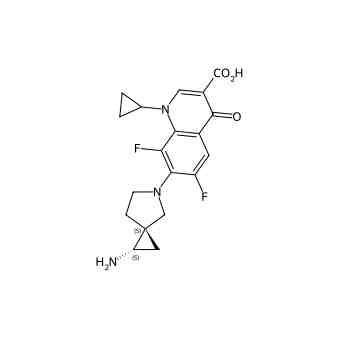 N[C@H]1C[C@]12CCN(c1c(F)cc3c(=O)c(C(=O)O)cn(C4CC4)c3c1F)C2